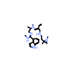 C=C/C(=C\N(C)C(C)C/N=C(\NC)c1cccc2[nH]ccc12)CNCCC1(C)CN1C